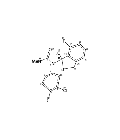 CNC(=O)N(c1ccc(F)c(Cl)c1)C1(C)CCc2cccc(F)c21